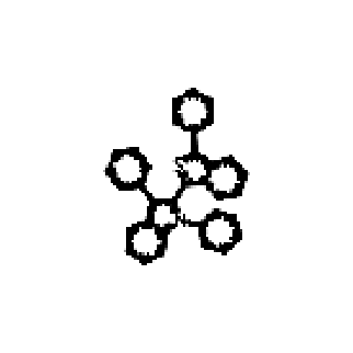 c1ccc(-c2sc(-c3c(-c4ccccc4)c4ccccc4n3-c3ccccc3)c3ccccc23)cc1